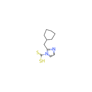 S=C(S)n1ccnc1CC1CCCCC1